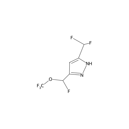 FC(F)c1cc(C(F)OC(F)(F)F)n[nH]1